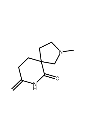 C=C1CCC2(CCN(C)C2)C(=O)N1